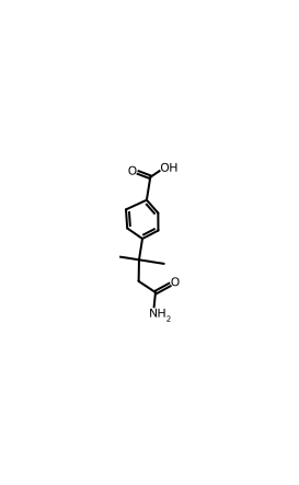 CC(C)(CC(N)=O)c1ccc(C(=O)O)cc1